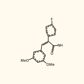 COc1cc(/C=C(\C([NH])=O)c2ccc(F)cc2)cc(OC)c1